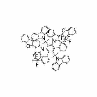 CC(C)(c1c(-c2cccc(C(F)(F)F)c2)c(-n2c3ccccc3c3c4oc5ccccc5c4ccc32)c(C(C)(C)n2c3ccccc3c3ccccc32)c(-n2c3ccccc3c3c4oc5ccccc5c4ccc32)c1-c1cccc(C(F)(F)F)c1)n1c2ccccc2c2ccccc21